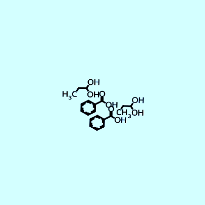 CCC(O)O.CCC(O)O.O=C(O)c1ccccc1.O=C(O)c1ccccc1